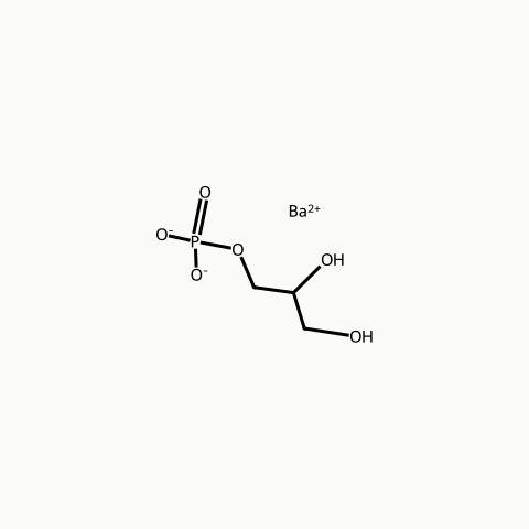 O=P([O-])([O-])OCC(O)CO.[Ba+2]